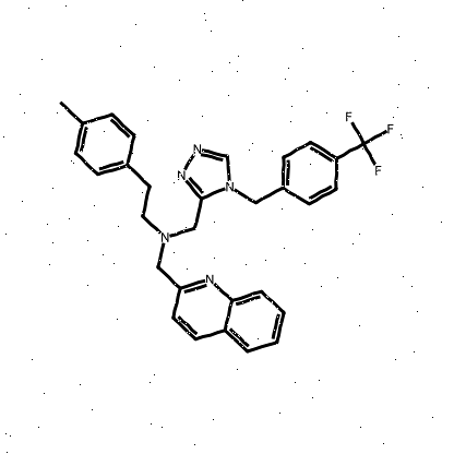 Cc1ccc(CCN(Cc2ccc3ccccc3n2)Cc2nncn2Cc2ccc(C(F)(F)F)cc2)cc1